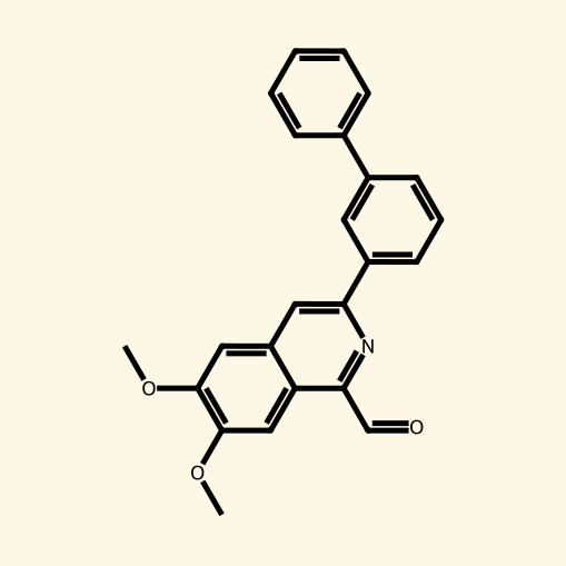 COc1cc2cc(-c3cccc(-c4ccccc4)c3)nc(C=O)c2cc1OC